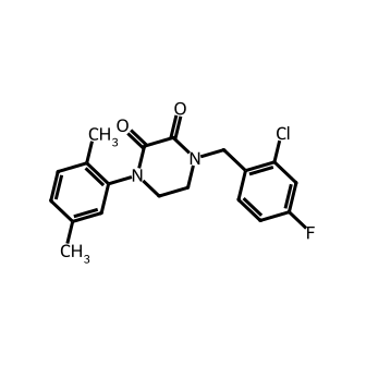 Cc1ccc(C)c(N2CCN(Cc3ccc(F)cc3Cl)C(=O)C2=O)c1